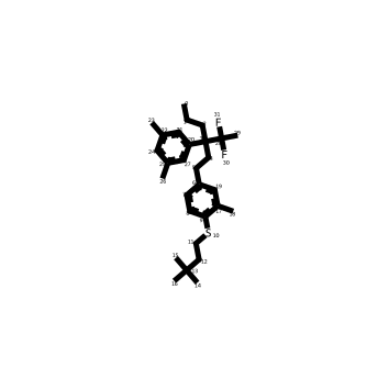 CCCC(CCc1ccc(SCCC(C)(C)C)c(C)c1)(c1cc(C)cc(C)c1)C(C)(F)F